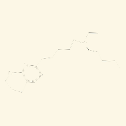 CCCCC[C@H](CC)CCCCCc1ccc2c(n1)NCCC2